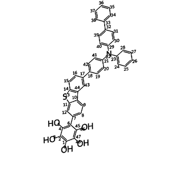 Oc1c(O)c(O)c(-c2ccc3c(c2)sc2ccc(-c4ccc(N(c5ccccc5)c5ccc(-c6ccccc6)cc5)cc4)cc23)c(O)c1O